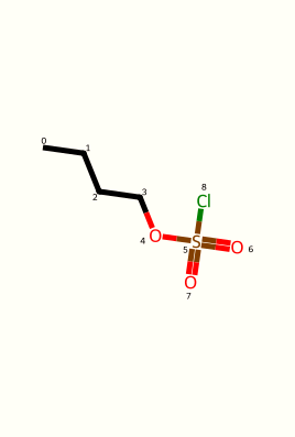 CCCCOS(=O)(=O)Cl